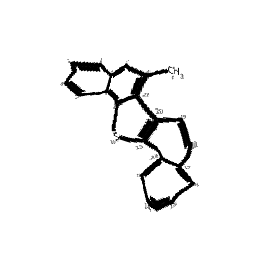 Cc1cc2ccccc2c2sc3c4ccccc4ccc3c12